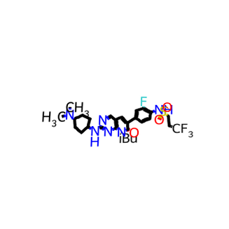 CC[C@@H](C)n1c(=O)c(-c2ccc(NS(=O)(=O)CCC(F)(F)F)c(F)c2)cc2cnc(NC3CCC(N(C)C)CC3)nc21